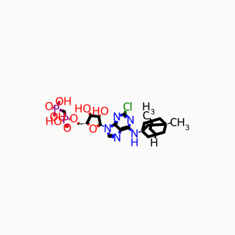 C[C@]12C[C@@H]3C[C@](C)(C1)C[C@@](Nc1nc(Cl)nc4c1ncn4[C@@H]1O[C@H](COP(=O)(O)CP(=O)(O)O)C(O)[C@@H]1O)(C3)C2